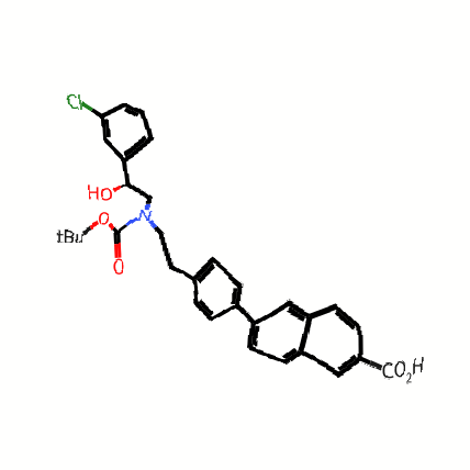 CC(C)(C)OC(=O)N(CCc1ccc(-c2ccc3cc(C(=O)O)ccc3c2)cc1)C[C@@H](O)c1cccc(Cl)c1